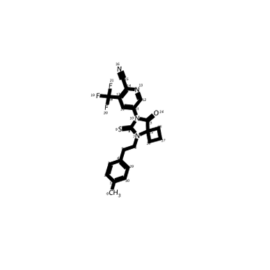 Cc1ccc(CCN2C(=S)N(c3cnc(C#N)c(C(F)(F)F)c3)C(=O)C23CCC3)cc1